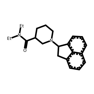 CCN(CC)C(=O)C1CCCN(C2Cc3cccc4cccc2c34)C1